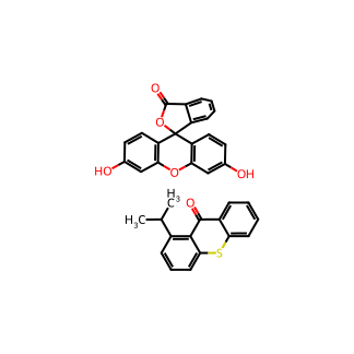 CC(C)c1cccc2sc3ccccc3c(=O)c12.O=C1OC2(c3ccc(O)cc3Oc3cc(O)ccc32)c2ccccc21